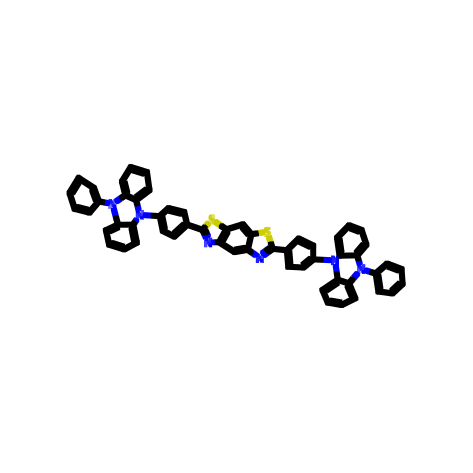 c1ccc(N2c3ccccc3N(c3ccc(-c4nc5cc6nc(-c7ccc(N8c9ccccc9N(c9ccccc9)c9ccccc98)cc7)sc6cc5s4)cc3)c3ccccc32)cc1